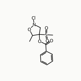 CC1ON(Cl)CC1(OC(=O)c1ccccc1)S(C)(=O)=O